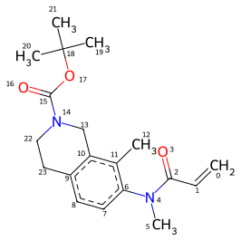 C=CC(=O)N(C)c1ccc2c(c1C)CN(C(=O)OC(C)(C)C)CC2